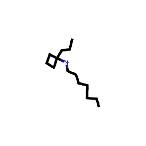 CCCCCCC[N]C1(CCC)CCC1